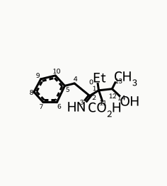 CCC(C(=N)Cc1ccccc1)(C(=O)O)C(C)O